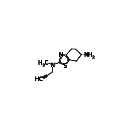 C#CCN(C)c1nc2c(s1)C[C@@H](N)CC2